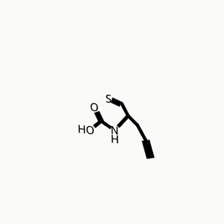 C#CCC(C=S)NC(=O)O